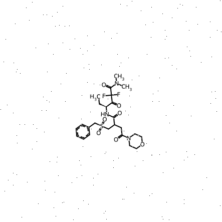 CC[C@H](NC(=O)C(CC(=O)N1CCOCC1)CS(=O)(=O)Cc1ccccc1)C(=O)C(F)(F)C(=O)N(C)C